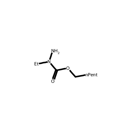 CCCCCCOC(=O)N(N)CC